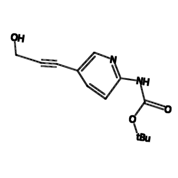 CC(C)(C)OC(=O)Nc1ccc(C#CCO)cn1